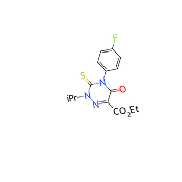 CCOC(=O)c1nn(C(C)C)c(=S)n(-c2ccc(F)cc2)c1=O